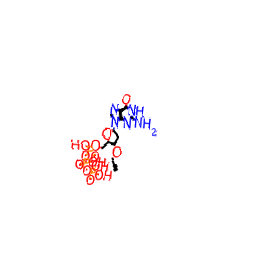 C#CCO[C@@H]1C[C@H](n2cnc3c(=O)[nH]c(N)nc32)OC1COP(=O)(O)OP(=O)(O)OP(=O)(O)O